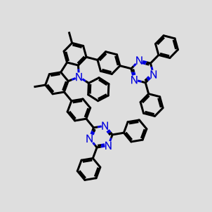 Cc1cc(-c2ccc(-c3nc(-c4ccccc4)nc(-c4ccccc4)n3)cc2)c2c(c1)c1cc(C)cc(-c3ccc(-c4nc(-c5ccccc5)nc(-c5ccccc5)n4)cc3)c1n2-c1ccccc1